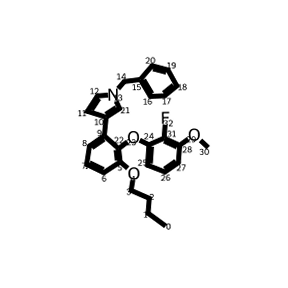 CCCCOc1c[c]cc(-c2ccn(Cc3ccccc3)c2)c1Oc1cccc(OC)c1F